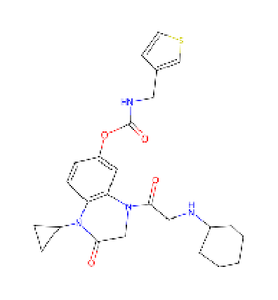 O=C(NCc1ccsc1)Oc1ccc2c(c1)N(C(=O)CNC1CCCCC1)CC(=O)N2C1CC1